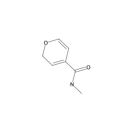 C[N]C(=O)C1=CCOC=C1